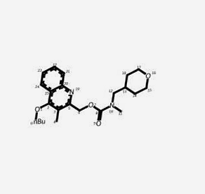 CCCCOc1c(C)c(COC(=O)N(C)CC2CCOCC2)nc2ccccc12